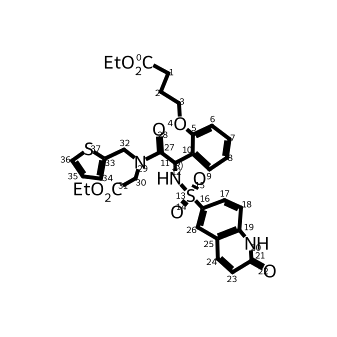 CCOC(=O)CCCOc1ccccc1[C@@H](NS(=O)(=O)c1ccc2[nH]c(=O)ccc2c1)C(=O)N(CC(=O)OCC)Cc1cccs1